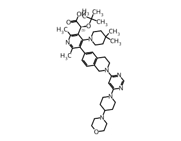 Cc1nc(C)c([C@H](OC(C)(C)C)C(=O)O)c(N2CCC(C)(C)CC2)c1-c1ccc2c(c1)CCN(c1cc(N3CCC(N4CCOCC4)CC3)ncn1)C2